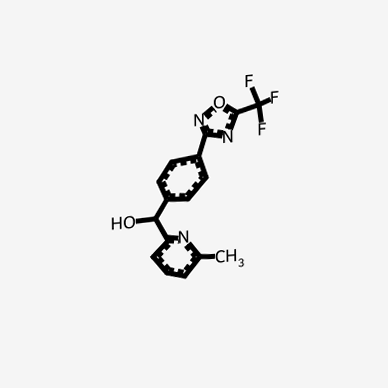 Cc1cccc(C(O)c2ccc(-c3noc(C(F)(F)F)n3)cc2)n1